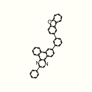 c1ccc(-c2cnc3c4ccc(-c5cccc(-c6ccc7oc8ccccc8c7c6)c5)cc4c4ccccc4c3n2)cc1